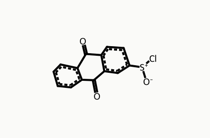 O=C1c2ccccc2C(=O)c2cc([S+]([O-])Cl)ccc21